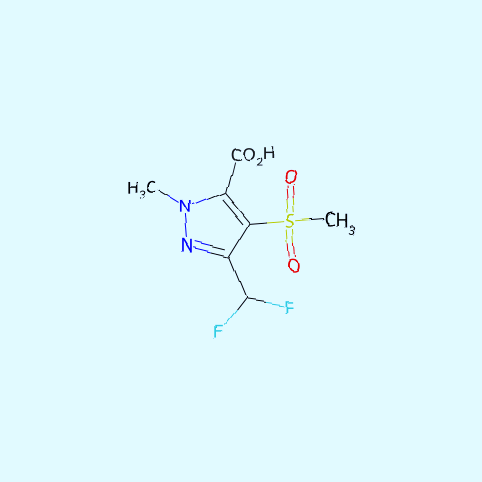 Cn1nc(C(F)F)c(S(C)(=O)=O)c1C(=O)O